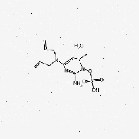 C=CCN(CC=C)C1=CC(C)N(OS(=O)(=O)O)C(N)=N1.O